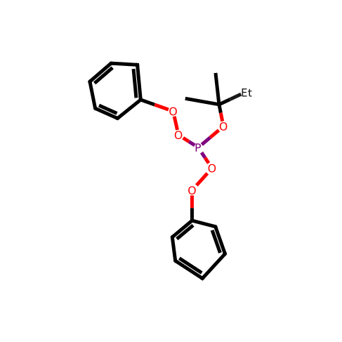 CCC(C)(C)OP(OOc1ccccc1)OOc1ccccc1